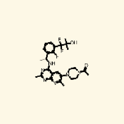 CC(=O)N1CCN(c2cc3c(N[C@H](C)c4cccc(C(F)(F)C(C)(C)O)c4F)nc(C)nc3nc2C)CC1